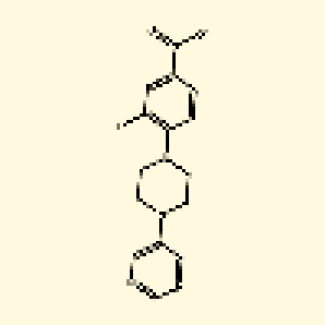 O=[N+]([O-])c1ccc(N2CCN(c3cncnc3)CC2)c(F)c1